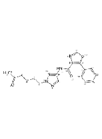 CC(=O)CCCCn1ncc(NC(=O)c2ncoc2-c2ccccc2)n1